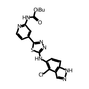 CC(C)COC(=O)Nc1cc(-c2nnc(Nc3ccc4[nH]ncc4c3Cl)s2)ccn1